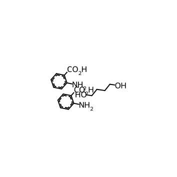 Nc1ccccc1C(=O)O.Nc1ccccc1C(=O)O.OCCCCO